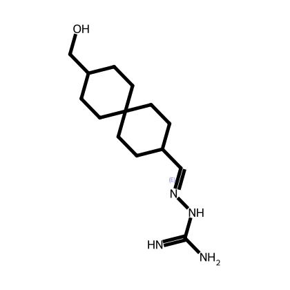 N=C(N)N/N=C/C1CCC2(CC1)CCC(CO)CC2